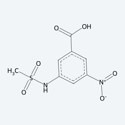 CS(=O)(=O)Nc1cc(C(=O)O)cc([N+](=O)[O-])c1